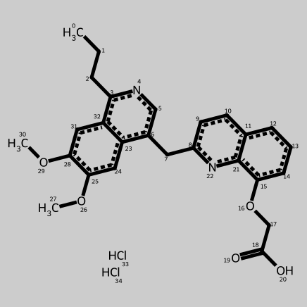 CCCc1ncc(Cc2ccc3cccc(OCC(=O)O)c3n2)c2cc(OC)c(OC)cc12.Cl.Cl